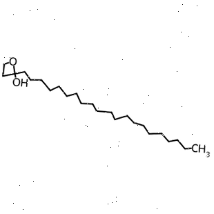 CCCCCCCCCCCCCCCCCCCCCC1(O)CCO1